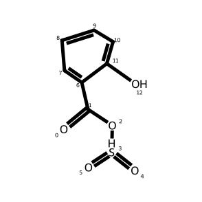 O=C(O[SH](=O)=O)c1ccccc1O